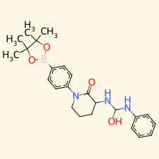 CC1(C)OB(c2ccc(N3CCCC(NC(O)Nc4ccccc4)C3=O)cc2)OC1(C)C